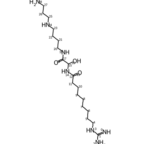 N=C(N)NCCCCCCCCC(=O)NC(O)C(=O)NCCCCNCCCN